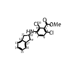 COC(=O)c1c(Cl)ccc(NC2Cc3ccccc3C2)c1Cl